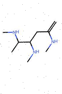 C=C(CC(NC)C(C)NC)NC